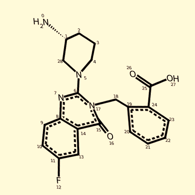 N[C@@H]1CCCN(c2nc3ccc(F)cc3c(=O)n2Cc2ccccc2C(=O)O)C1